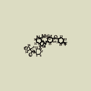 CC1(C(=O)N2CCCC(c3nn(-c4ccc(Oc5ccc(F)cc5)cc4)c4c(N)nccc34)C2)COC1